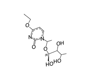 CCOc1ccn(C(C)O[C@H](CO)C(O)C(C)O)c(=O)n1